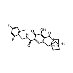 O=C(NCc1c(F)cc(F)cc1F)c1cn2c(c(O)c1=O)C(=O)N1C[C@H]3CC[C@@]1(C3)C2